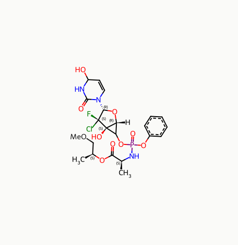 COC[C@H](C)OC(=O)[C@H](C)NP(=O)(Oc1ccccc1)OC1[C@H]2O[C@@H](N3C=CC(O)NC3=O)[C@@](F)(Cl)[C@@]12O